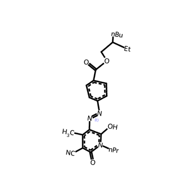 CCCCC(CC)COC(=O)c1ccc(/N=N/c2c(C)c(C#N)c(=O)n(CCC)c2O)cc1